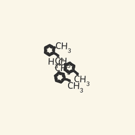 CCc1ccc(C)cc1.CCc1cccc(C)c1.CCc1ccccc1C